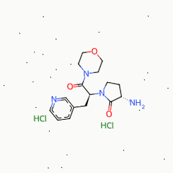 Cl.Cl.N[C@H]1CCN([C@@H](Cc2cccnc2)C(=O)N2CCOCC2)C1=O